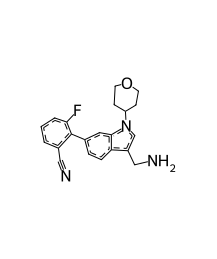 N#Cc1cccc(F)c1-c1ccc2c(CN)cn(C3CCOCC3)c2c1